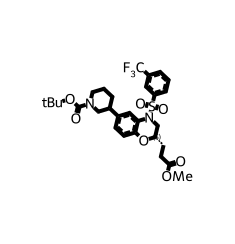 COC(=O)CC[C@H]1CN(S(=O)(=O)c2cccc(C(F)(F)F)c2)c2cc(C3CCCN(C(=O)OC(C)(C)C)C3)ccc2O1